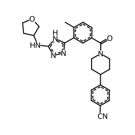 Cc1ccc(C(=O)N2CCC(c3ccc(C#N)cc3)CC2)cc1-c1nnc(NC2CCOC2)[nH]1